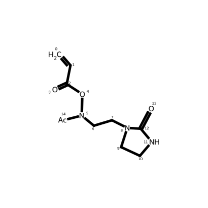 C=CC(=O)ON(CCN1CCNC1=O)C(C)=O